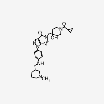 CN1CCCC(CNc2ccc(-n3ncc4c(=O)n(CC5(O)CCN(C(=O)C6CC6)CC5)cnc43)cc2)C1